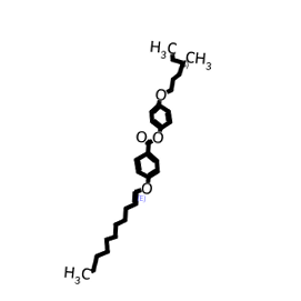 CCCCCCCCC/C=C/Oc1ccc(C(=O)Oc2ccc(OCCC[C@@H](C)CC)cc2)cc1